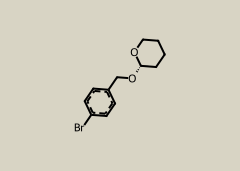 Brc1ccc(CO[C@H]2CCCCO2)cc1